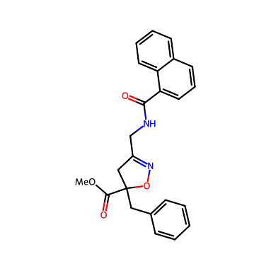 COC(=O)C1(Cc2ccccc2)CC(CNC(=O)c2cccc3ccccc23)=NO1